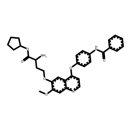 COc1cc2nccc(Oc3ccc(NC(=O)c4ccccc4)cc3)c2cc1OCCC(N)C(=O)OC1CCCC1